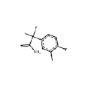 C=C(N)C(C)(F)c1ccc(F)c(C)c1